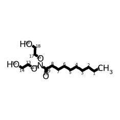 CCCCCCCCCC(=O)N(OCCO)OCCO